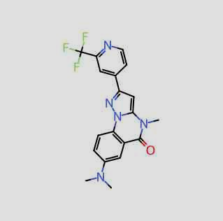 CN(C)c1ccc2c(c1)c(=O)n(C)c1cc(-c3ccnc(C(F)(F)F)c3)nn21